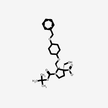 CC(C)(C)OC(=O)N1CC[C@](CO)([N+](=O)[O-])[C@@H]1COC1CCC(OCc2ccccc2)CC1